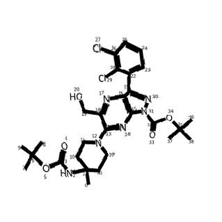 CC1(NC(=O)OC(C)(C)C)CCN(c2nc3c(nc2CO)c(-c2cccc(Cl)c2Cl)nn3C(=O)OC(C)(C)C)CC1